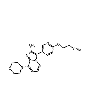 COCCOc1ccc(-c2c(C)nc3c(N4CCOCC4)ccnn23)cn1